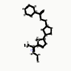 C=C(CCC1CCC(C2CC=C(/C(N)=N\CC)N2)C1)C1CCCCC1